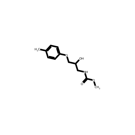 COC(=O)NCC(O)COc1ccc(C)cc1